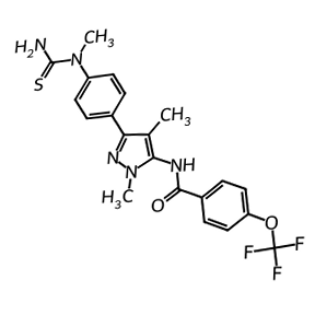 Cc1c(-c2ccc(N(C)C(N)=S)cc2)nn(C)c1NC(=O)c1ccc(OC(F)(F)F)cc1